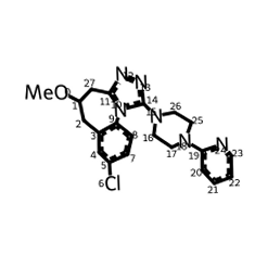 COC1Cc2cc(Cl)ccc2-n2c(nnc2N2CCN(c3ccccn3)CC2)C1